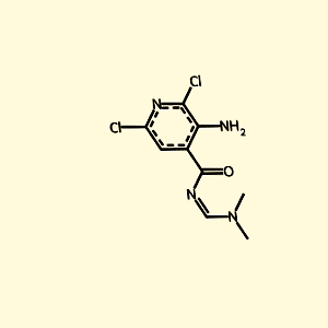 CN(C)/C=N\C(=O)c1cc(Cl)nc(Cl)c1N